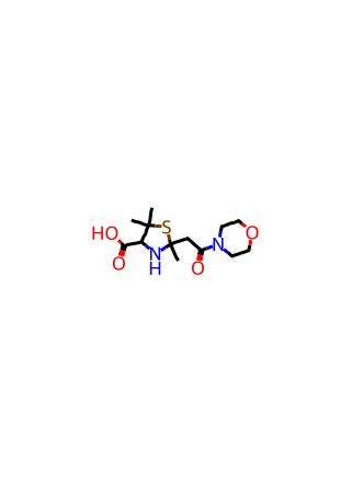 CC1(CC(=O)N2CCOCC2)NC(C(=O)O)C(C)(C)S1